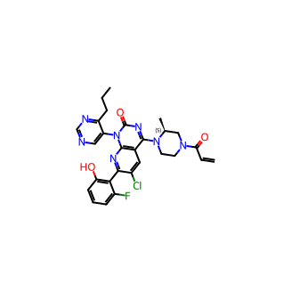 C=CC(=O)N1CCN(c2nc(=O)n(-c3cncnc3CCC)c3nc(-c4c(O)cccc4F)c(Cl)cc23)[C@@H](C)C1